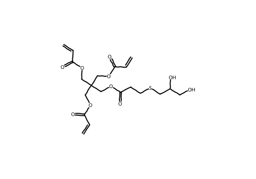 C=CC(=O)OCC(COC(=O)C=C)(COC(=O)C=C)COC(=O)CCSCC(O)CO